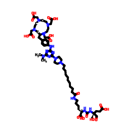 CN(C)c1nc(Nc2ccc(CC3CN(CC(=O)O)CCN(CC(=O)O)CCN(CC(=O)O)CCN3CC(=O)O)cc2)nc(N2CCN(CCCCCCCCCCC(=O)NCCCC[C@H](NC(=O)N[C@@](C=O)(CO)CCC(=O)O)C(=O)O)CC2)n1